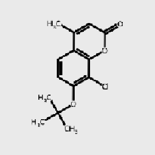 Cc1cc(=O)oc2c(Cl)c(OC(C)(C)C)ccc12